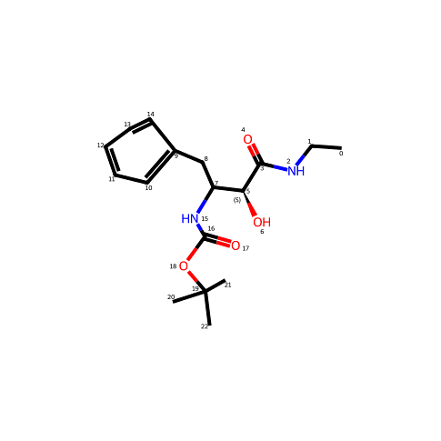 CCNC(=O)[C@@H](O)C(Cc1ccccc1)NC(=O)OC(C)(C)C